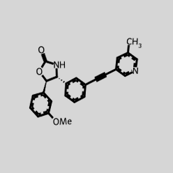 COc1cccc([C@H]2OC(=O)N[C@@H]2c2cccc(C#Cc3cncc(C)c3)c2)c1